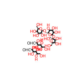 O=C[C@H](O)[C@@H](O)[C@@H](O)[C@H](O)CO.O=C[C@H](O)[C@@H](O)[C@H](O)[C@H](O)CO.OC[C@H]1O[C@H](OC[C@H]2O[C@H](O[C@]3(CO)O[C@H](CO)[C@@H](O)[C@@H]3O)[C@H](O)[C@@H](O)[C@@H]2O)[C@H](O)[C@@H](O)[C@H]1O